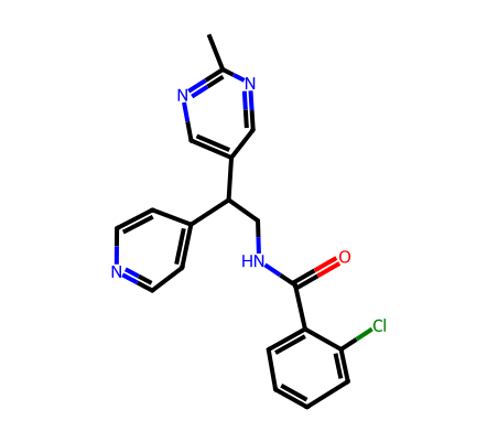 Cc1ncc(C(CNC(=O)c2ccccc2Cl)c2ccncc2)cn1